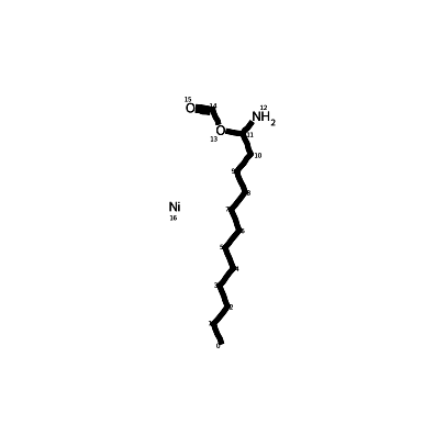 CCCCCCCCCCCC(N)OC=O.[Ni]